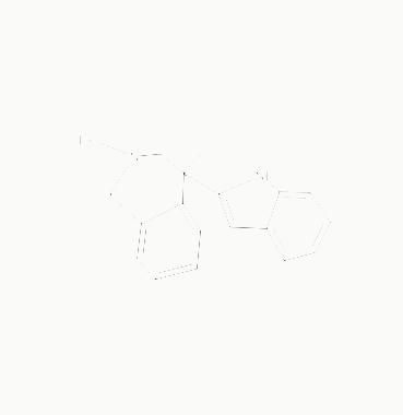 CN1Cc2ccccc2C(F)(c2cc3ccccc3[nH]2)C1